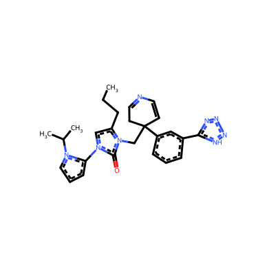 CCCc1cn(-c2cccn2C(C)C)c(=O)n1CC1(c2cccc(-c3nnn[nH]3)c2)C=CN=CC1